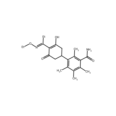 CCON=C(CC)C1=C(O)CC(c2c(C)c(C)c(C)c(C(N)=O)c2C)CC1=O